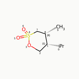 CC(C)[C@@H]1COS(=O)(=O)C[C@@H]1C